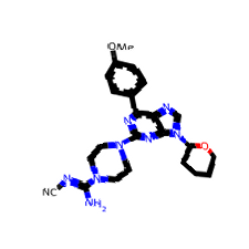 COc1ccc(-c2nc(N3CCN(/C(N)=N/C#N)CC3)nc3c2ncn3C2CCCCO2)cc1